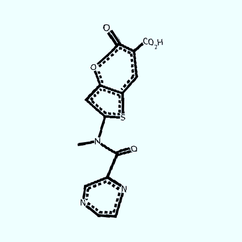 CN(C(=O)c1cnccn1)c1cc2oc(=O)c(C(=O)O)cc2s1